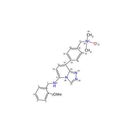 COc1ccccc1CNc1ccc(-c2ccc(C[N+](C)(C)[O-])cc2)c2nncn12